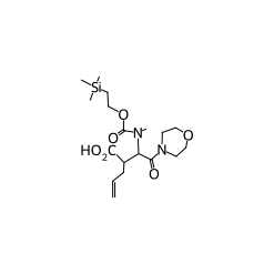 C=CCC(C(=O)O)C(C(=O)N1CCOCC1)N(C)C(=O)OCC[Si](C)(C)C